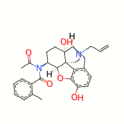 C=CCN1CC[C@]23c4c5ccc(O)c4O[C@H]2[C@@H](N(C(C)=O)C(=O)c2ccccc2C)CC[C@@]3(O)[C@H]1C5